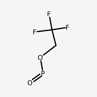 O=POCC(F)(F)F